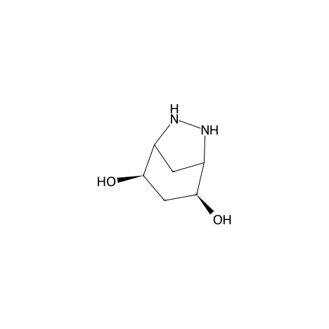 O[C@@H]1C[C@H](O)C2CC1NN2